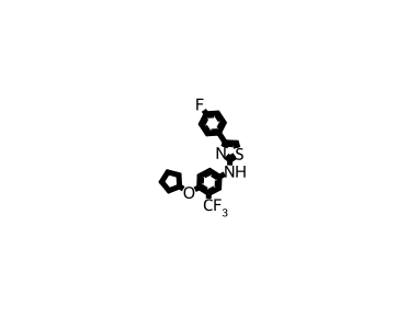 Fc1ccc(-c2csc(Nc3ccc(OC4CCCC4)c(C(F)(F)F)c3)n2)cc1